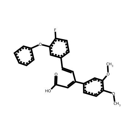 COc1ccc(C(C=Cc2ccc(F)c(Oc3ccccc3)c2)=CC(=O)O)cc1OC